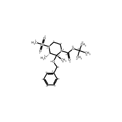 C[C@@H]1N(S(C)(=O)=O)CCN(C(=O)OC(C)(C)C)[C@]1(C)OCc1ccccc1